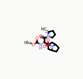 CC(C)(C)OC(=O)N[C@H](C(=O)N1CCC[C@H]1C#N)C1CC2CCC(C1)N2C(=O)OC(C)(C)C